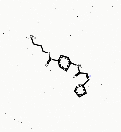 CCCCOC(=O)c1ccc(NC(=O)/C=C\c2ccco2)cc1